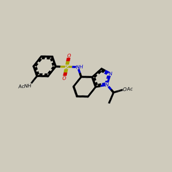 CC(=O)Nc1cccc(S(=O)(=O)NC2CCCc3c2cnn3C(C)OC(C)=O)c1